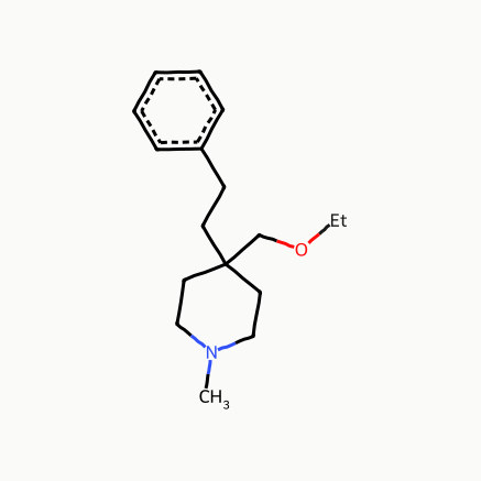 CCOCC1(CCc2ccccc2)CCN(C)CC1